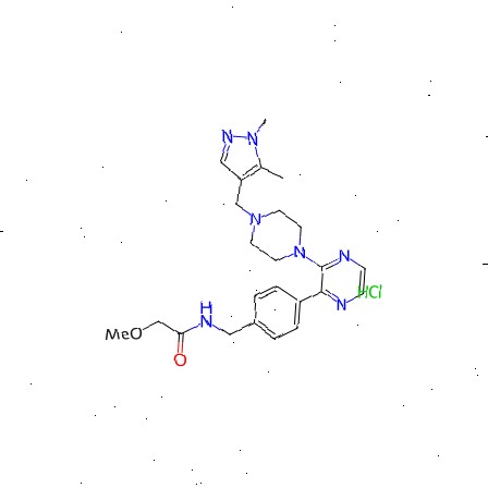 COCC(=O)NCc1ccc(-c2nccnc2N2CCN(Cc3cnn(C)c3C)CC2)cc1.Cl